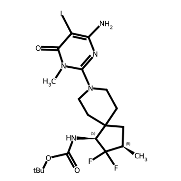 C[C@@H]1CC2(CCN(c3nc(N)c(I)c(=O)n3C)CC2)[C@H](NC(=O)OC(C)(C)C)C1(F)F